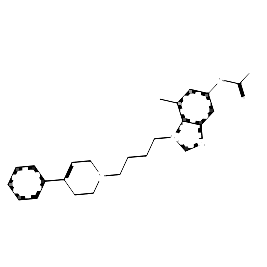 CCC(=O)Nc1cc(C)c2c(c1)ncn2CCCCN1CC=C(c2ccccc2)CC1